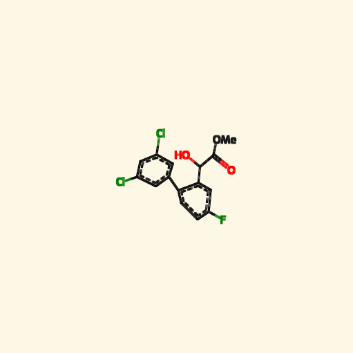 COC(=O)C(O)c1cc(F)ccc1-c1cc(Cl)cc(Cl)c1